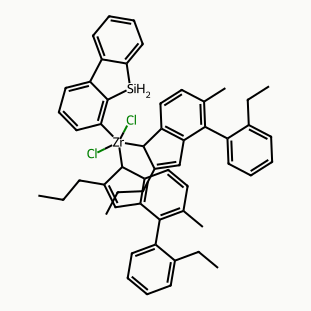 CCCC1=Cc2c(ccc(C)c2-c2ccccc2CC)[CH]1[Zr]([Cl])([Cl])([c]1cccc2c1[SiH2]c1ccccc1-2)[CH]1C(CCC)=Cc2c1ccc(C)c2-c1ccccc1CC